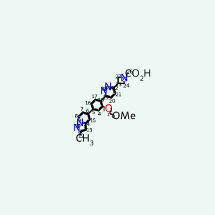 COCOc1cc(-c2ccn3nc(C)cc3c2)ccc1-c1ccc(C2CN(C(=O)O)C2)nn1